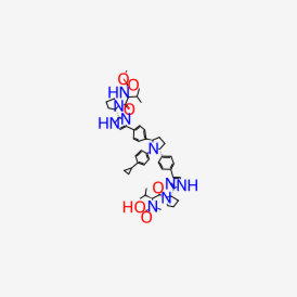 COC(=O)N[C@H](C(=O)N1CCC[C@H]1c1nc(-c2ccc([C@H]3CC[C@H](c4ccc(-c5c[nH]c([C@@H]6CCCN6C(=O)[C@H](C(C)C)N(C)C(=O)O)n5)cc4)N3c3ccc(C4CC4)cc3)cc2)c[nH]1)C(C)C